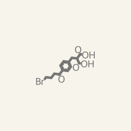 O=C(CCCBr)c1ccc(CC(C(=O)O)C(=O)O)cc1